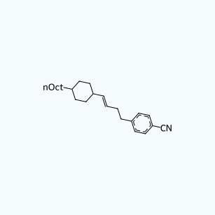 CCCCCCCCC1CCC(C=CCCc2ccc(C#N)cc2)CC1